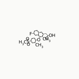 Cc1cc(S(C)(=O)=O)ccc1Oc1c(C)c(CC(=O)O)cc2ccc(F)cc12